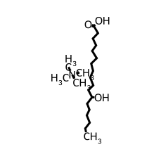 CCCCCCC(O)CCCCCCCCCCC(=O)O.C[N+](C)(C)C